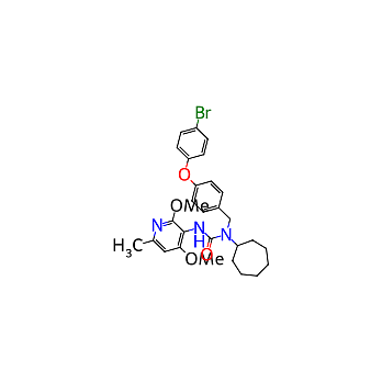 COc1cc(C)nc(OC)c1NC(=O)N(Cc1ccc(Oc2ccc(Br)cc2)cc1)C1CCCCCC1